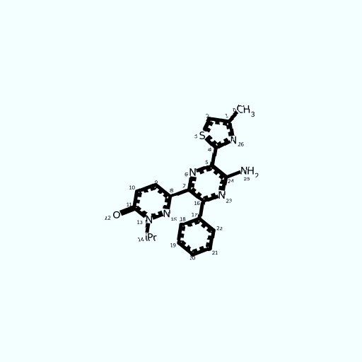 Cc1csc(-c2nc(-c3ccc(=O)n(C(C)C)n3)c(-c3ccccc3)nc2N)n1